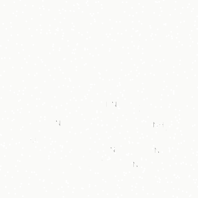 COCc1ccc(NC(=O)c2c(C#CCN3CCOCC3)n(C3(C)CC3)c3ncnc(N)c23)cc1